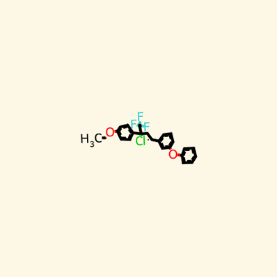 CCOc1ccc(C(Cl)(C[CH]c2cccc(Oc3ccccc3)c2)C(F)(F)F)cc1